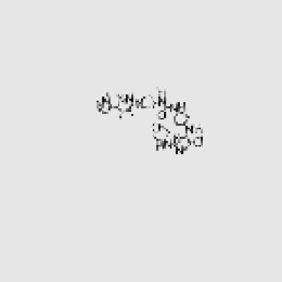 Cc1c(-c2ccnn2C)nnc(N2CCC(NC(=O)Nc3ccc(Nc4nc(NC5CCOCC5)ncc4Cl)cc3)CC2)c1C